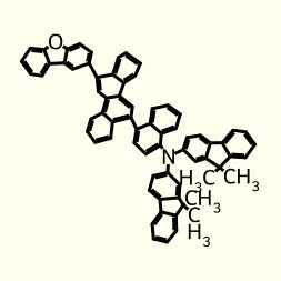 CC1(C)c2ccccc2-c2ccc(N(c3ccc4c(c3)C(C)(C)c3ccccc3-4)c3ccc(-c4cc5c6ccccc6c(-c6ccc7oc8ccccc8c7c6)cc5c5ccccc45)c4ccccc34)cc21